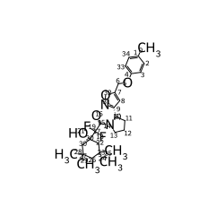 Cc1ccc(OCc2cc([C@@H]3CCCN3C(=O)C(F)(F)C3(O)CC(C)(C)CC(C)(C)C3)no2)cc1